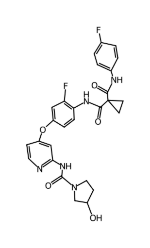 O=C(Nc1cc(Oc2ccc(NC(=O)C3(C(=O)Nc4ccc(F)cc4)CC3)c(F)c2)ccn1)N1CCC(O)C1